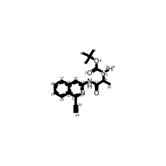 [2H]N(C(=O)OC(C)(C)C)C(C)C(=O)Nc1cc2ccccc2c(C#C)n1